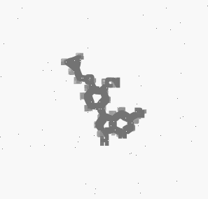 N#Cc1cc(-c2c[nH]c3ncc(Br)cc23)ccc1OCC1CC1